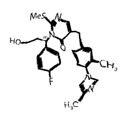 CSc1ncc(Cc2ccc(-n3cnc(C)c3)c(C)c2)c(=O)n1[C@H](CCO)c1ccc(F)cc1